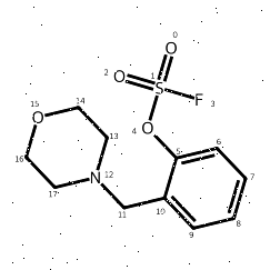 O=S(=O)(F)Oc1ccccc1CN1CCOCC1